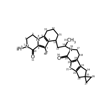 CC(C)N1CCn2c3c(c(F)c2C1=O)C(CC(C)N1CCc2c(sc4c2CC2(CC2)C4)C1=O)CCC3